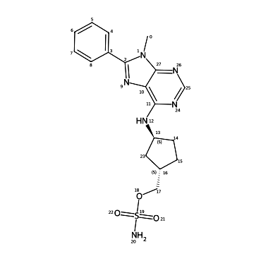 Cn1c(-c2ccccc2)nc2c(N[C@H]3CC[C@H](COS(N)(=O)=O)C3)ncnc21